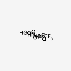 O=C(NCC(=O)N1CCN(C(=O)c2ccccc2C(F)(F)F)CC1)c1ccc(O)cc1